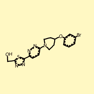 OCc1nnc(-c2ccc(N3CCC(Oc4cccc(Br)c4)CC3)nn2)s1